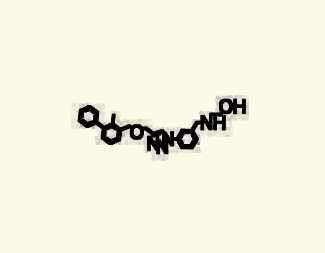 Cc1c(COCc2cn(-c3cccc(CNCCO)c3)nn2)cccc1-c1ccccc1